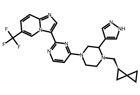 FC(F)(F)c1ccc2ncc(-c3nccc(N4CCN(C[C@@H]5CC56CC6)C(c5cn[nH]c5)C4)n3)n2c1